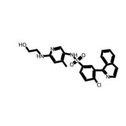 Cc1cc(NCCO)ncc1NS(=O)(=O)c1ccc(Cl)c(-c2nccc3ccccc23)c1